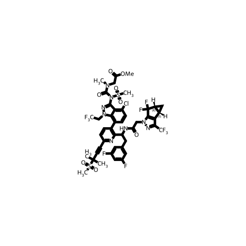 COC(=O)CN(C)C(=O)N(c1nn(CC(F)(F)F)c2c(-c3ccc(C#CC(C)(C)S(C)(=O)=O)nc3C(Cc3cc(F)cc(F)c3)NC(=O)Cn3nc(C(F)(F)F)c4c3C(F)(F)[C@@H]3C[C@H]43)ccc(Cl)c12)S(C)(=O)=O